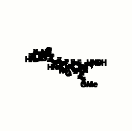 COCCn1cc(CCNO)c2ccc(-n3cc4cc(CCS(=O)(=O)NC5CCNCC5)[nH]c4nc3=O)cc21